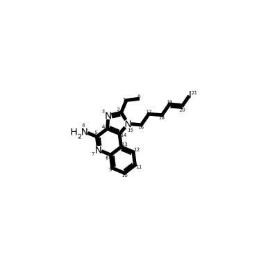 CCc1nc2c(N)nc3ccccc3c2n1CCCC=CI